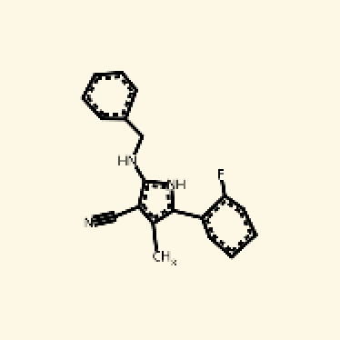 Cc1c(-c2ccccc2F)[nH]c(NCc2ccccc2)c1C#N